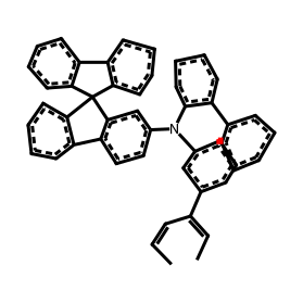 C/C=C\C(=C/C)c1cccc(N(c2ccc3c(c2)C2(c4ccccc4-c4ccccc42)c2ccccc2-3)c2ccccc2-c2ccccc2)c1